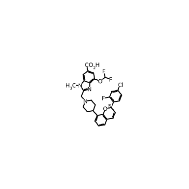 Cn1c(CN2CCC(c3cccc4c3O[C@@H](c3ccc(Cl)cc3F)C=C4)CC2)nc2c(OC(F)F)cc(C(=O)O)cc21